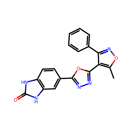 Cc1onc(-c2ccccc2)c1-c1nnc(-c2ccc3[nH]c(=O)[nH]c3c2)o1